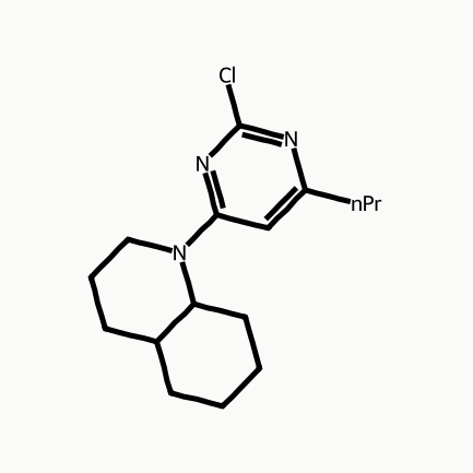 CCCc1cc(N2CCCC3CCCCC32)nc(Cl)n1